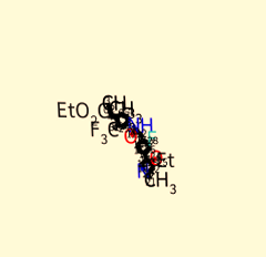 CCOC(=O)C(C)(C)Cc1ccc(NC(=O)Cc2ccc(-c3cnc(C)cc3OCC)cc2F)cc1C(F)(F)F